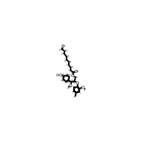 COc1cc(C)ccc1OC(COC(=O)CCCCCCCCC=O)C(OC)c1ccc(O)cc1